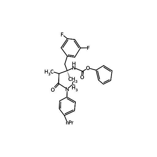 CCCc1ccc(N(C)C(=O)C(C)[C@@](C)(Cc2cc(F)cc(F)c2)NC(=O)Oc2ccccc2)cc1